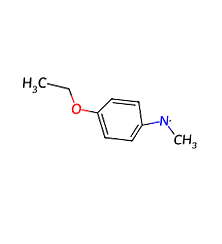 CCOc1ccc([N]C)cc1